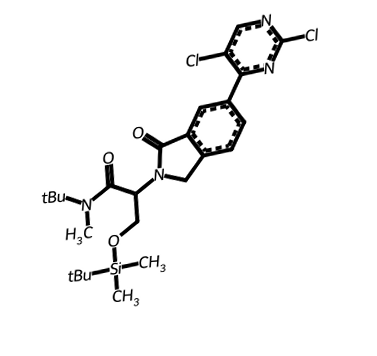 CN(C(=O)C(CO[Si](C)(C)C(C)(C)C)N1Cc2ccc(-c3nc(Cl)ncc3Cl)cc2C1=O)C(C)(C)C